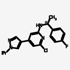 CC(C)n1cc(-c2cc(Cl)nc(N[C@@H](C)c3ccc(F)cc3)c2)cn1